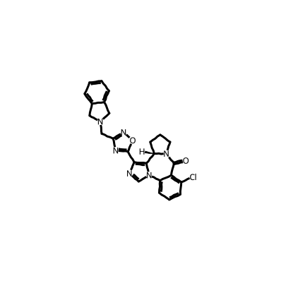 O=C1c2c(Cl)cccc2-n2cnc(-c3nc(CN4Cc5ccccc5C4)no3)c2[C@@H]2CCCN12